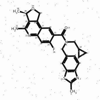 Cc1nc2ccc(CN(CC3CC3)C(=O)c3cc4c5c(c(N)nc4cc3F)[C@@H](C)OC5)cc2s1